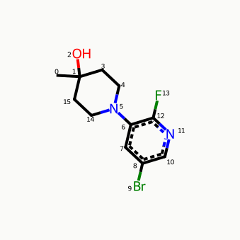 CC1(O)CCN(c2cc(Br)cnc2F)CC1